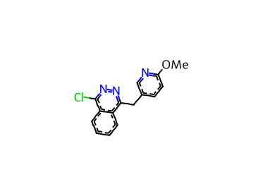 COc1ccc(Cc2nnc(Cl)c3ccccc23)cn1